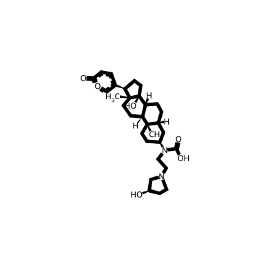 C[C@]12CC[C@H](N(CCN3CC[C@@H](O)C3)C(=O)O)C[C@H]1CC[C@@H]1[C@@H]2CC[C@]2(C)[C@@H](c3ccc(=O)oc3)CC[C@]12O